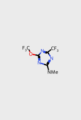 CNc1nc(OC(F)(F)F)nc(C(F)(F)F)n1